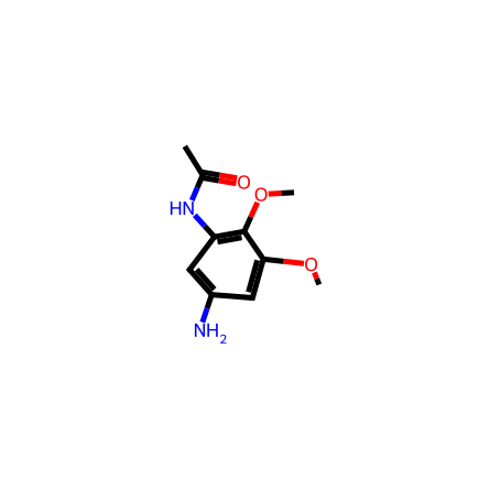 COc1cc(N)cc(NC(C)=O)c1OC